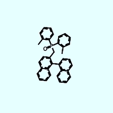 Cc1ccccc1P(=O)(Cc1ccc2ccccc2c1-c1cccc2ccccc12)c1ccccc1C